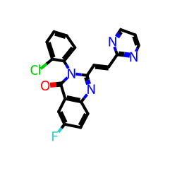 O=c1c2cc(F)ccc2nc(C=Cc2ncccn2)n1-c1ccccc1Cl